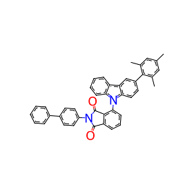 Cc1cc(C)c(-c2ccc3c(c2)c2ccccc2n3-c2cccc3c2C(=O)N(c2ccc(-c4ccccc4)cc2)C3=O)c(C)c1